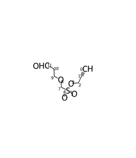 C#CCOS(=O)(=O)COCCC=O